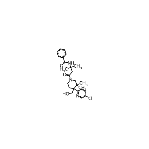 CC(C)(CC(=O)N1CCC(CO)(c2ccc(Cl)cn2)C(C)(C)C1)NC(=O)c1ccccc1